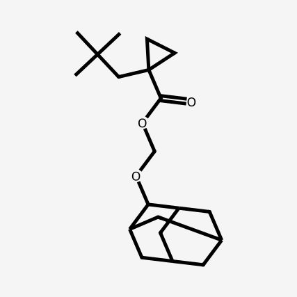 CC(C)(C)CC1(C(=O)OCOC2C3CC4CC(C3)CC2C4)CC1